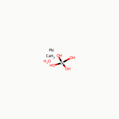 O.O[Si](O)(O)O.[CaH2].[Pb]